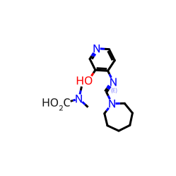 CN(C)C(=O)O.Oc1cnccc1/N=C/N1CCCCCC1